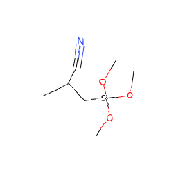 CO[Si](CC(C)C#N)(OC)OC